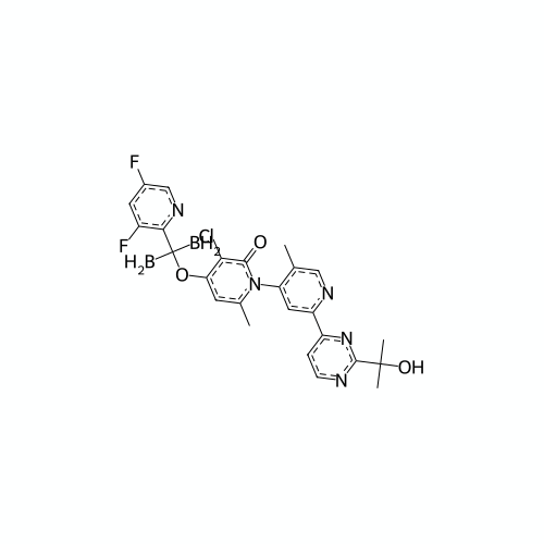 BC(B)(Oc1cc(C)n(-c2cc(-c3ccnc(C(C)(C)O)n3)ncc2C)c(=O)c1Cl)c1ncc(F)cc1F